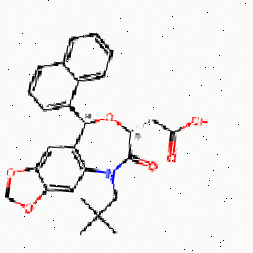 CC(C)(C)CN1C(=O)[C@@H](CC(=O)O)O[C@H](c2cccc3ccccc23)c2cc3c(cc21)OCO3